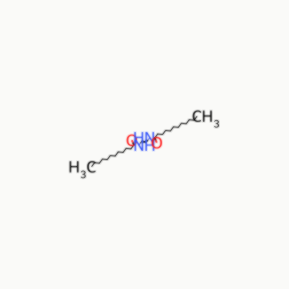 CCCCCCCCCCCC(=O)N/C=C/NC(=O)CCCCCCCCCCC